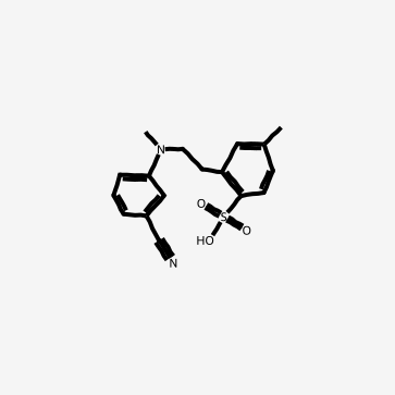 Cc1ccc(S(=O)(=O)O)c(CCN(C)c2cccc(C#N)c2)c1